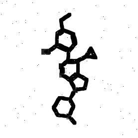 CCc1ccc(-c2nnc3c(c2C2CC2)CCN3[C@@H]2CCCN(C)C2)c(O)c1